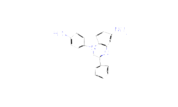 Nc1ccc(N2CC(c3ccccc3)=Nc3cc(N)ccc32)cc1